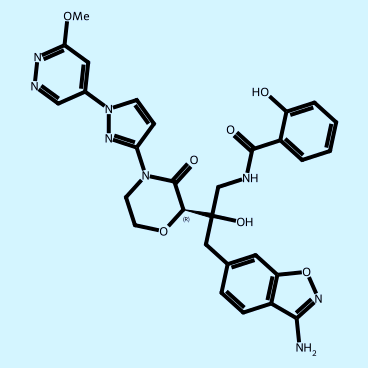 COc1cc(-n2ccc(N3CCO[C@H](C(O)(CNC(=O)c4ccccc4O)Cc4ccc5c(N)noc5c4)C3=O)n2)cnn1